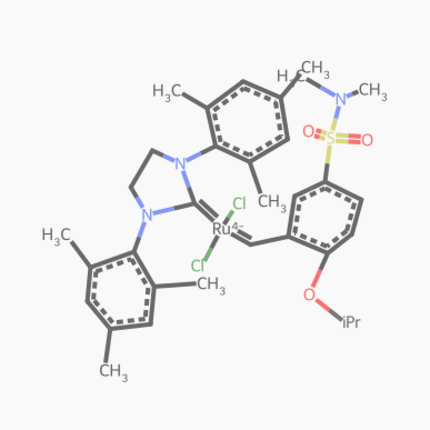 Cc1cc(C)c(N2CCN(c3c(C)cc(C)cc3C)[C]2=[Ru-4]([Cl])([Cl])=[CH]c2cc(S(=O)(=O)N(C)C)ccc2OC(C)C)c(C)c1